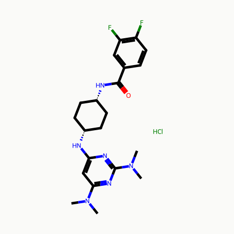 CN(C)c1cc(N[C@H]2CC[C@@H](NC(=O)c3ccc(F)c(F)c3)CC2)nc(N(C)C)n1.Cl